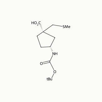 CSC[C@]1(C(=O)O)CC[C@@H](NC(=O)OC(C)(C)C)C1